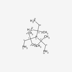 CC(C)(CP)P(C(C)(C)CP)C(C)(C)CP